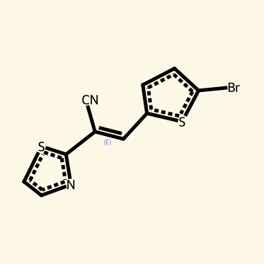 N#C/C(=C\c1ccc(Br)s1)c1nccs1